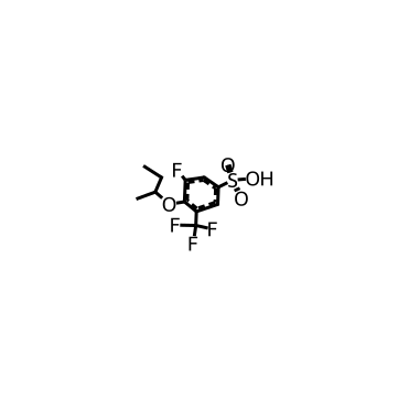 CCC(C)Oc1c(F)cc(S(=O)(=O)O)cc1C(F)(F)F